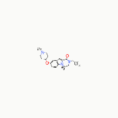 CC(C)N1CCC(Oc2ccc3c(c2)cc2n3[C@H](C)CN(CC(F)(F)F)C2=O)CC1